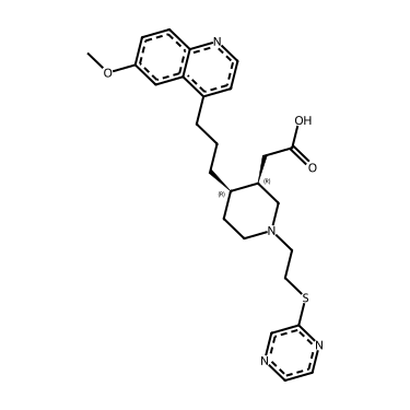 COc1ccc2nccc(CCC[C@@H]3CCN(CCSc4cnccn4)C[C@@H]3CC(=O)O)c2c1